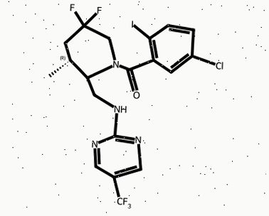 C[C@@H]1CC(F)(F)CN(C(=O)c2cc(Cl)ccc2I)C1CNc1ncc(C(F)(F)F)cn1